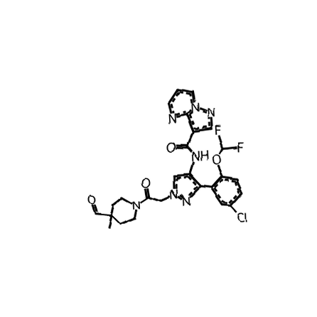 CC1(C=O)CCN(C(=O)Cn2cc(NC(=O)c3cnn4cccnc34)c(-c3cc(Cl)ccc3OC(F)F)n2)CC1